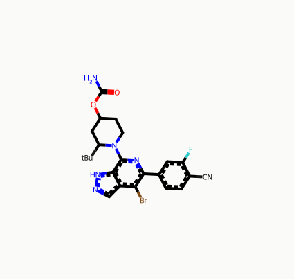 CC(C)(C)C1CC(OC(N)=O)CCN1c1nc(-c2ccc(C#N)c(F)c2)c(Br)c2cn[nH]c12